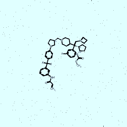 C=CC(=O)Nc1cccc(C(F)(F)c2ccc(N3CC[C@@H](CN4CCC(C(CN5CCC5)(c5cccc(F)c5)[C@H]5CCC[C@@H]5NC(=O)OC)CC4)C3)cc2)c1